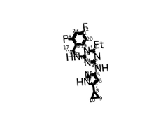 CCc1nc(Nc2cc(C3CC3)[nH]n2)nc(N[C@H](C)c2ccc(F)cc2F)n1